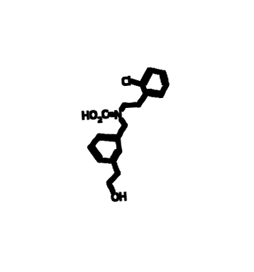 O=C(O)N(CCc1ccccc1Cl)Cc1cccc(CCO)c1